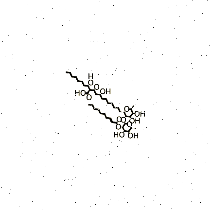 CCCCCCCC=CC(=O)O[C@@H]1[C@@H](O[C@@H]2[C@H](O)[C@@H](O)[C@H](C)O[C@H]2CCCCCCCC(O)CC(=O)C(C(=O)O)C(O)CCCCCCC)O[C@H](C)[C@@H](O)[C@@H]1O